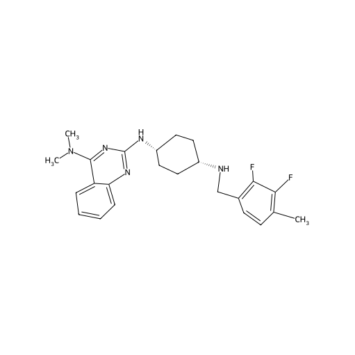 Cc1ccc(CN[C@H]2CC[C@@H](Nc3nc(N(C)C)c4ccccc4n3)CC2)c(F)c1F